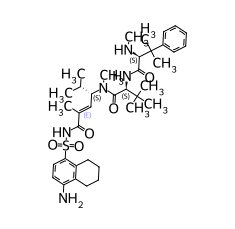 CN[C@H](C(=O)N[C@H](C(=O)N(C)[C@H](/C=C(\C)C(=O)NS(=O)(=O)c1ccc(N)c2c1CCCC2)C(C)C)C(C)(C)C)C(C)(C)c1ccccc1